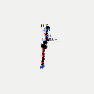 Cc1ccnc(NCCCC(=O)NCC(=O)N[C@@H](CC(=O)O)c2ccc(-c3cccc4c(OCCOCCOCCOCCOCCN=[N+]=[N-])cccc34)cc2)c1